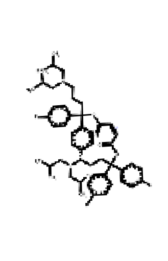 CC(C)CN(CCCC(OC(=O)/C=C\C(=O)OC(CCCN(CC(C)C)CC(C)C)(c1ccc(F)cc1)c1ccc(F)cc1)(c1ccc(F)cc1)c1ccc(F)cc1)CC(C)C